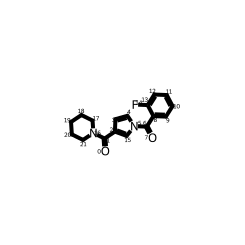 O=C(c1ccn(C(=O)c2ccccc2F)c1)N1CCCCC1